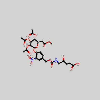 COC(=O)C[C@H]1O[C@@H](Oc2ccc(COC(=O)NCC(=O)CCC(=O)O)cc2[N+](=O)[O-])C(OC(C)=O)[C@@H](OC(C)=O)[C@@H]1OC(C)=O